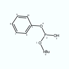 CCCCOP(O)Oc1ccccc1